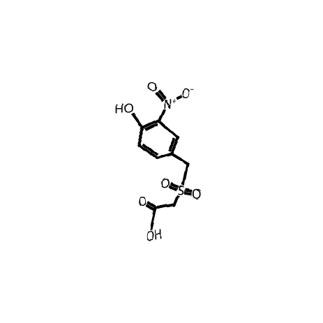 O=C(O)CS(=O)(=O)Cc1ccc(O)c([N+](=O)[O-])c1